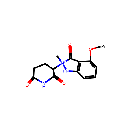 CC(C)Oc1cccc2c1C(=O)[N+](C)(C1CCC(=O)NC1=O)N2